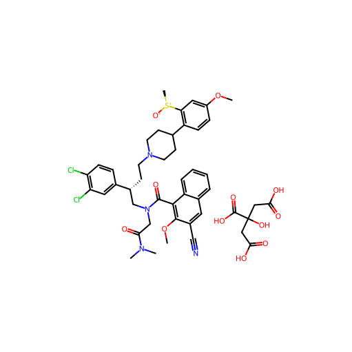 COc1ccc(C2CCN(CC[C@H](CN(CC(=O)N(C)C)C(=O)c3c(OC)c(C#N)cc4ccccc34)c3ccc(Cl)c(Cl)c3)CC2)c([S@+](C)[O-])c1.O=C(O)CC(O)(CC(=O)O)C(=O)O